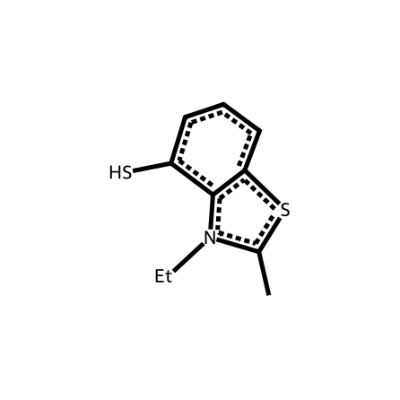 CC[n+]1c(C)sc2cccc(S)c21